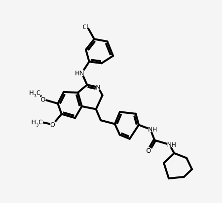 COc1cc2c(cc1OC)C(Cc1ccc(NC(=O)NC3CCCCC3)cc1)CN=C2Nc1cccc(Cl)c1